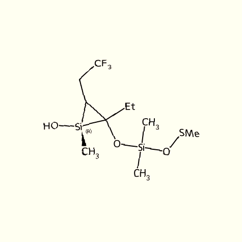 CCC1(O[Si](C)(C)OSC)C(CC(F)(F)F)[Si@@]1(C)O